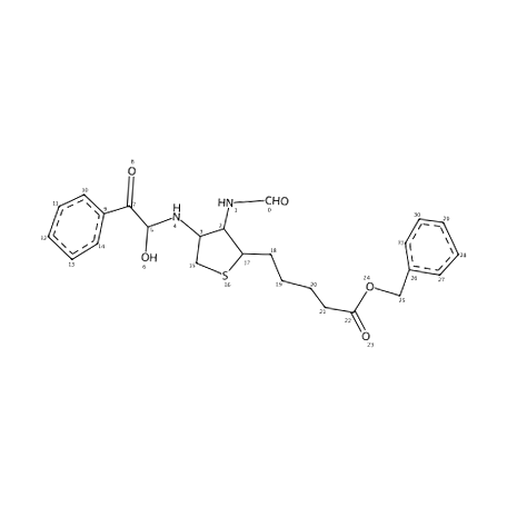 O=CNC1C(NC(O)C(=O)c2ccccc2)CSC1CCCCC(=O)OCc1ccccc1